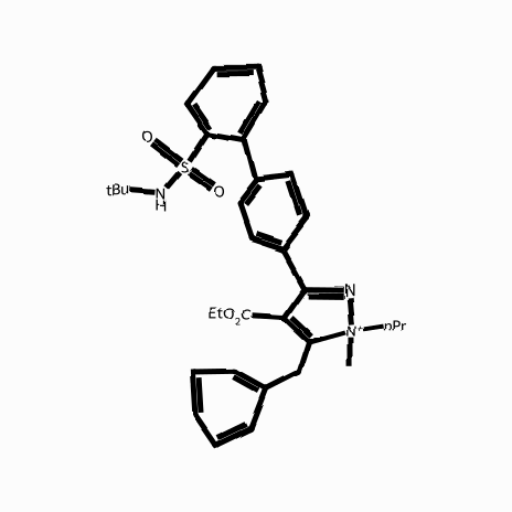 CCC[N+]1(C)N=C(c2ccc(-c3ccccc3S(=O)(=O)NC(C)(C)C)cc2)C(C(=O)OCC)=C1Cc1ccccc1